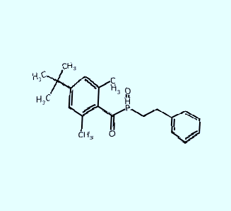 Cc1cc(C(C)(C)C)cc(C)c1C(=O)[PH](=O)CCc1ccccc1